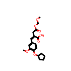 COCOC(=O)CC(=Cc1ccc(OC2CCCC2)c(OC)c1)C(=O)O